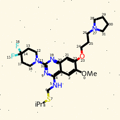 COc1cc2c(NCSC(C)C)nc(N3CCC(F)(F)CC3)nc2cc1OCCCN1CCCC1